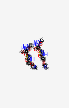 CCC(CC)NC(=O)Nc1ccc(Oc2cnc(NC(=O)c3ccc(COC4CCN(C(C)C)CC4)cc3)s2)c(OC)c1.CCC(CC)NC(=O)Nc1ccc(Oc2cnc(NC(=O)c3cccc(OC4CCCN(C(C)C)C4)c3)s2)c(COC)c1